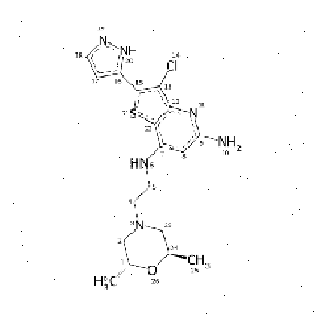 C[C@@H]1CN(CCNc2cc(N)nc3c(Cl)c(-c4ccn[nH]4)sc23)C[C@@H](C)O1